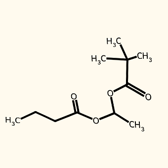 CCCC(=O)OC(C)OC(=O)C(C)(C)C